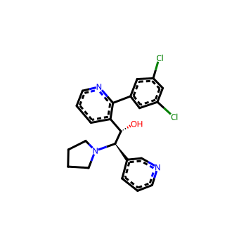 O[C@@H](c1cccnc1-c1cc(Cl)cc(Cl)c1)[C@@H](c1cccnc1)N1CCCC1